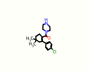 CC1(C)CCC(C(=O)N2CCNCC2)=C(c2ccc(Cl)cc2)C1